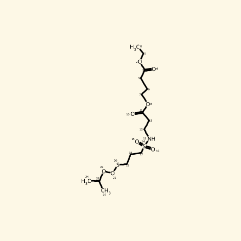 CCOC(=O)CCCOC(=O)CCNS(=O)(=O)CCCSOOC(C)C